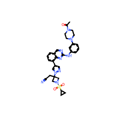 CC(=O)N1CCN(c2cccc(Nc3ncc4cccc(-c5cnn(C6(CC#N)CN(S(=O)(=O)C7CC7)C6)c5)c4n3)c2)CC1